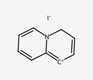 [C+]1=C2C=CC=CN2CC=C1.[I-]